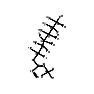 C=PC(CC(F)(F)C(F)(F)C(F)(F)C(F)(F)C(F)(F)C(F)(F)F)OC(C)(C)C